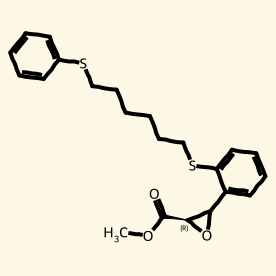 COC(=O)[C@@H]1OC1c1ccccc1SCCCCCCSc1ccccc1